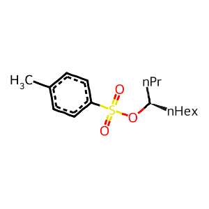 CCCCCC[C@H](CCC)OS(=O)(=O)c1ccc(C)cc1